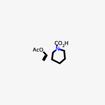 C=COC(C)=O.O=C(O)N1CCCCC1